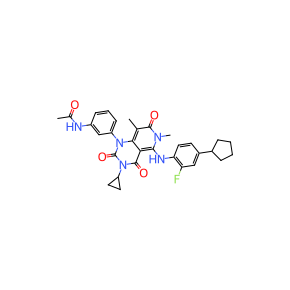 CC(=O)Nc1cccc(-n2c(=O)n(C3CC3)c(=O)c3c(Nc4ccc(C5CCCC5)cc4F)n(C)c(=O)c(C)c32)c1